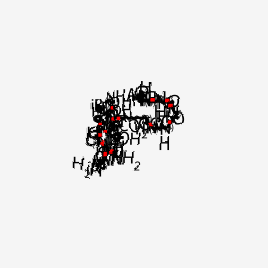 CC(=O)N[C@@H](CC(C)C)C(=O)N[C@H](C(=O)N[C@@H](Cc1ccccc1)C(=O)N[C@](C)(CCCCCCCCCCC[C@@H](C)C(=O)CN[C@@H](C)C(=O)CCN[C@@H](C)C(=O)CCC(=O)[C@H](C)NCCC(=O)[C@H](C)NCCC(=O)[C@H](C)NCN[C@H](C)C(N)=O)C(=O)C(=O)[C@H](CCC(=O)O)NC(=O)[C@H](Cc1ccc(O)cc1)NN[C@@H](Cc1c[nH]c2ccccc12)C(=O)CC(=O)[C@H](C)NCN[C@@H](CCC(N)=O)C(=O)N[C@@H](CC(C)C)C(N)=O)[C@@H](C)O